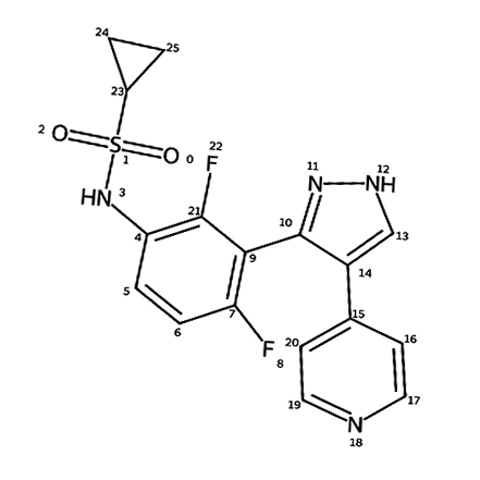 O=S(=O)(Nc1ccc(F)c(-c2n[nH]cc2-c2ccncc2)c1F)C1CC1